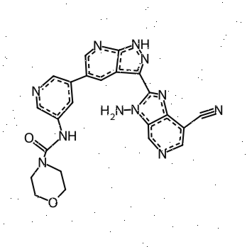 N#Cc1cncc2c1nc(-c1n[nH]c3ncc(-c4cncc(NC(=O)N5CCOCC5)c4)cc13)n2N